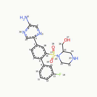 Nc1cnc(-c2ccc(-c3cccc(F)c3)c(S(=O)(=O)N3CCNCC3CO)c2)cn1